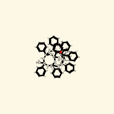 O[Si]1(c2ccccc2)O[Si]2(c3ccccc3)O[Si](O)(c3ccccc3)O[Si@](c3ccccc3)(O1)O[Si@]1(c3ccccc3)O[Si](O)(c3ccccc3)O[Si](c3ccccc3)(O2)O[Si@@](O)(c2ccccc2)O1